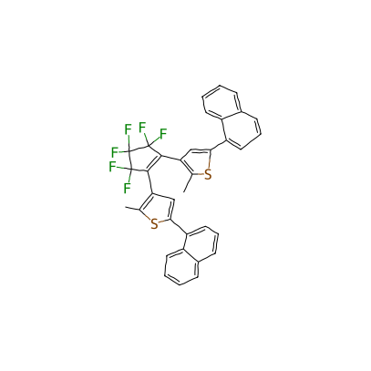 Cc1sc(-c2cccc3ccccc23)cc1C1=C(c2cc(-c3cccc4ccccc34)sc2C)C(F)(F)C(F)(F)C1(F)F